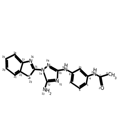 CC(=O)Nc1cccc(Nc2nc(N)n(-c3nc4ccccc4s3)n2)c1